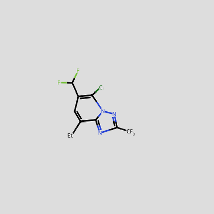 CCc1cc(C(F)F)c(Cl)n2nc(C(F)(F)F)nc12